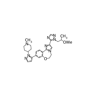 COC(C)Cn1ncnc1-c1cn2c(n1)-c1ccc(-c3ccnn3C3CCN(C)CC3)cc1OCC2